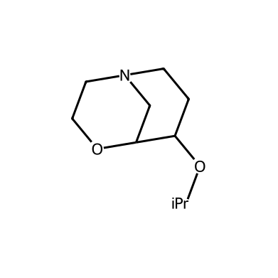 CC(C)OC1CCN2CCOC1C2